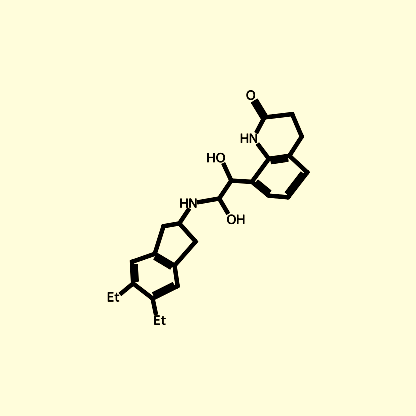 CCc1cc2c(cc1CC)CC(NC(O)C(O)c1cccc3c1NC(=O)CC3)C2